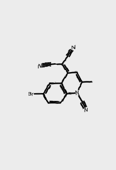 CC1=CC(=C(C#N)C#N)c2cc(Br)ccc2N1C#N